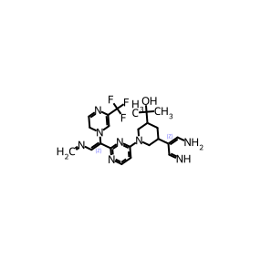 C=N/C=C(/c1nccc(N2CC(/C(C=N)=C/N)CC(C(C)(C)O)C2)n1)N1C=C(C(F)(F)F)N=CC1